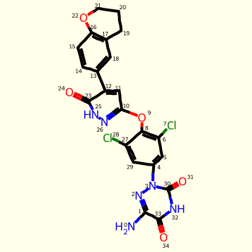 Nc1nn(-c2cc(Cl)c(Oc3cc(-c4ccc5c(c4)CCCO5)c(=O)[nH]n3)c(Cl)c2)c(=O)[nH]c1=O